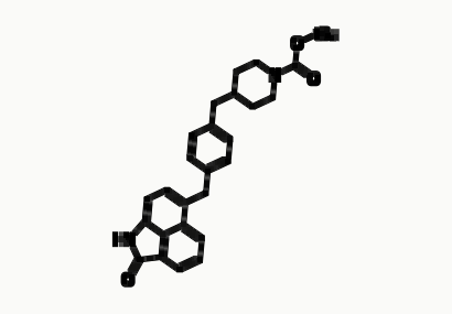 CC(C)(C)OC(=O)N1CCC(Cc2ccc(Cc3ccc4c5c(cccc35)C(=O)N4)cc2)CC1